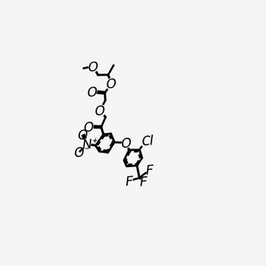 COCC(C)OC(=O)COCC(=O)c1cc(Oc2ccc(C(F)(F)F)cc2Cl)ccc1[N+](=O)[O-]